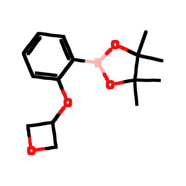 CC1(C)OB(c2ccccc2OC2COC2)OC1(C)C